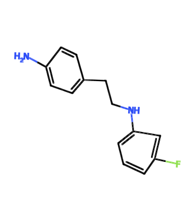 Nc1ccc(CCNc2cccc(F)c2)cc1